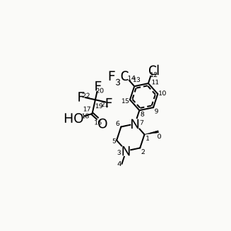 C[C@H]1CN(C)CCN1c1ccc(Cl)c(C(F)(F)F)c1.O=C(O)C(F)(F)F